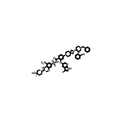 CC(C)c1ccccc1[C@@H]1CN(Cc2ccccc2)CC[C@@H]1N1CC2(CCN(c3ccc(C(=O)NS(=O)(=O)c4cc5c(c([N+](=O)[O-])c4)N[C@@H]([C@H]4CC[C@](C)(O)CC4)CO5)c(Oc4cnc5[nH]cc(F)c5c4)c3)CC2)C1